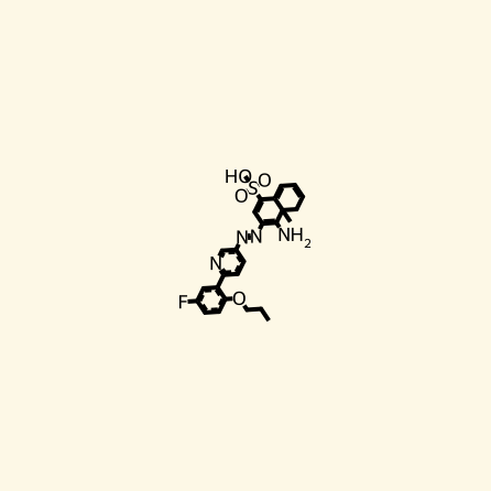 CCCOc1ccc(F)cc1-c1ccc(/N=N/C2=C(N)C3(C)CC=CC=C3C(S(=O)(=O)O)=C2)cn1